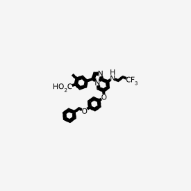 Cc1cc(-c2cnc3c(NCCC(F)(F)F)cc(Oc4ccc(OCc5ccccc5)cc4)cn23)ccc1C(=O)O